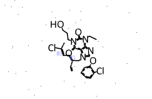 C=C/C(=C\C=C(/C)Cl)Cn1c(Oc2ccccc2Cl)nc2c1c(=O)n(CCCO)c(=O)n2CC